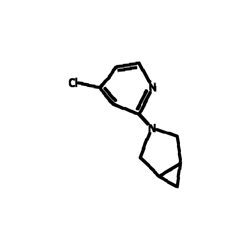 Clc1ccnc(N2CC3CC3C2)c1